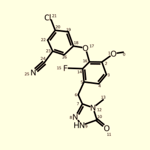 COc1ccc(Cc2n[nH]c(=O)n2C)c(F)c1Oc1cc(Cl)cc(C#N)c1